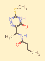 CCCC(=O)NC(C)c1nnc(SC)[nH]c1=O